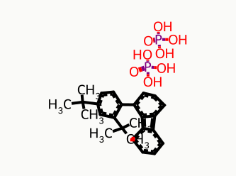 CC(C)(C)c1ccc(-c2cccc3c2=c2ccccc2=3)c(C(C)(C)C)c1.O=P(O)(O)O.O=P(O)(O)O